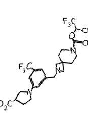 O=C(O)C1CCN(c2cc(CN3CC4(CCN(C(=O)OC(C(F)(F)F)C(F)(F)F)CC4)C3)cc(C(F)(F)F)c2)C1